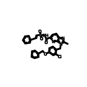 Cc1nc2ccc(C(=O)NS(=O)(=O)C=Cc3ccccc3)nc2n1Cc1ccc(OCc2ccccc2)cc1Cl